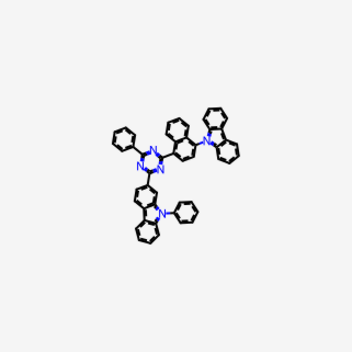 c1ccc(-c2nc(-c3ccc4c5ccccc5n(-c5ccccc5)c4c3)nc(-c3ccc(-n4c5ccccc5c5ccccc54)c4ccccc34)n2)cc1